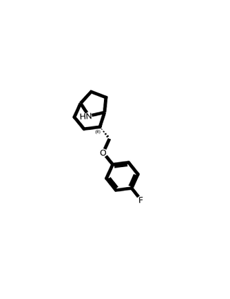 Fc1ccc(OC[C@@H]2CCC3CCC2N3)cc1